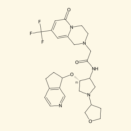 O=C(CN1CCn2c(cc(C(F)(F)F)cc2=O)C1)NC1CN(C2CCOC2)C[C@@H]1OC1CCc2ccncc21